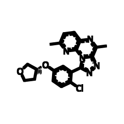 Cc1ccc2nc(C)c3nnc(-c4cc(O[C@@H]5CCOC5)ccc4Cl)n3c2n1